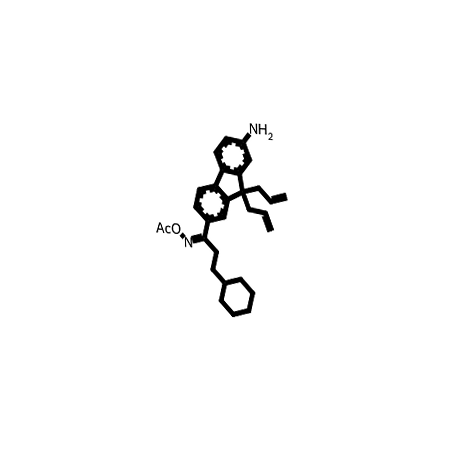 C=CCC1(CC=C)c2cc(N)ccc2-c2ccc(/C(CCC3CCCCC3)=N\OC(C)=O)cc21